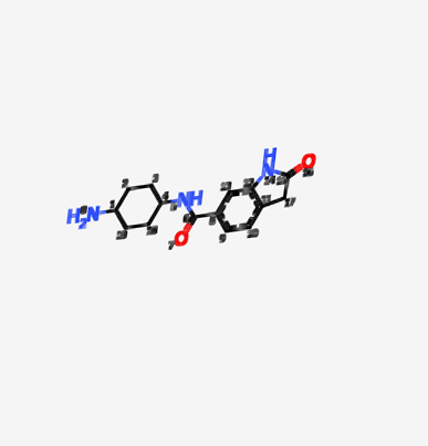 NC1CCC(NC(=O)c2ccc3c(c2)NC(=O)C3)CC1